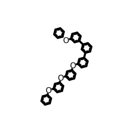 c1ccc(Oc2cccc(Oc3cccc(Oc4cccc(-c5cccc(-c6cccc(Oc7ccccc7)c6)c5)c4)c3)c2)cc1